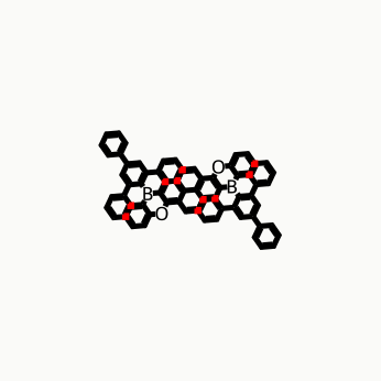 c1ccc(-c2cc(-c3ccccc3)c(B3c4ccccc4Oc4c3cc3ccc5c6c(cc7ccc4c3c75)B(c3c(-c4ccccc4)cc(-c4ccccc4)cc3-c3ccccc3)c3ccccc3O6)c(-c3ccccc3)c2)cc1